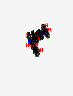 COc1ccc(-c2ncc3c(O)c(O)ccc3c2O)cc1.COc1ccc2c(O)c(-c3ccccc3)ncc2c1.COc1cccc2c(C)nc(-c3ccccc3)c(O)c12.COc1cccc2c(O)c(-c3ccccc3)ncc12.Oc1ccc(-c2ncc3cc(Cl)ccc3c2O)cc1